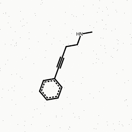 CNCCC#Cc1ccccc1